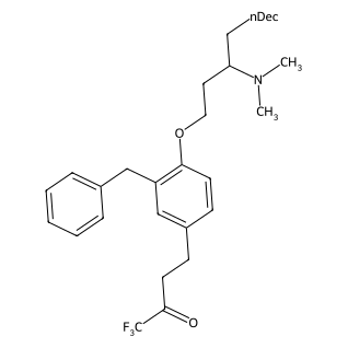 CCCCCCCCCCCC(CCOc1ccc(CCC(=O)C(F)(F)F)cc1Cc1ccccc1)N(C)C